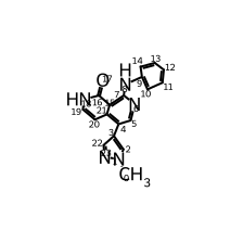 Cn1cc(-c2cnc(Nc3ccccc3)c3c(=O)[nH]ccc23)cn1